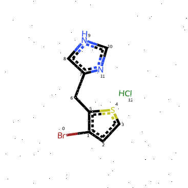 Brc1ccsc1Cc1c[nH]cn1.Cl